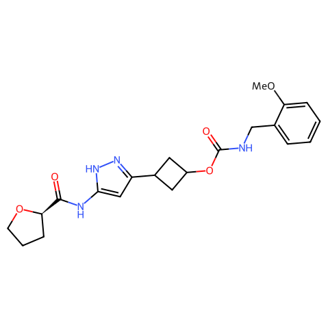 COc1ccccc1CNC(=O)OC1CC(c2cc(NC(=O)[C@H]3CCCO3)[nH]n2)C1